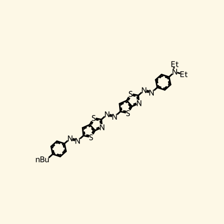 CCCCc1ccc(N=Nc2cc3sc(N=Nc4cc5sc(N=Nc6ccc(N(CC)CC)cc6)nc5s4)nc3s2)cc1